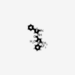 CC(=O)c1sc(-c2ccccc2)cc1NC(=O)c1cc(C)n(-c2ccccc2C(F)(F)F)c1C